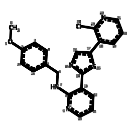 COc1ccc(CNc2ncccc2-c2ncc(-c3cccnc3Cl)s2)cc1